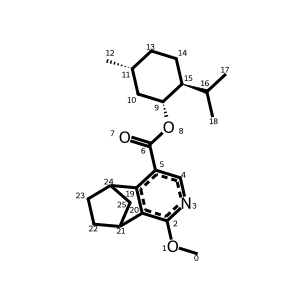 COc1ncc(C(=O)O[C@@H]2C[C@H](C)CC[C@H]2C(C)C)c2c1C1CCC2C1